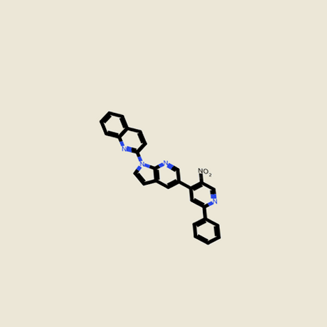 O=[N+]([O-])c1cnc(-c2ccccc2)cc1-c1cnc2c(ccn2-c2ccc3ccccc3n2)c1